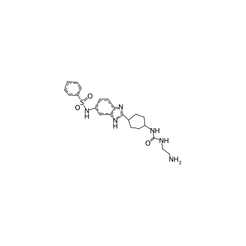 NCCNC(=O)NC1CCC(c2nc3ccc(NS(=O)(=O)c4ccccc4)cc3[nH]2)CC1